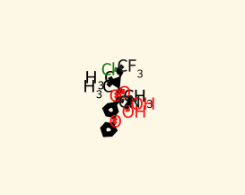 CC(O)CO.CC1(C)[C@H](C(=O)OC(C#N)c2cccc(Oc3ccccc3)c2)[C@@H]1/C=C(\Cl)C(F)(F)F